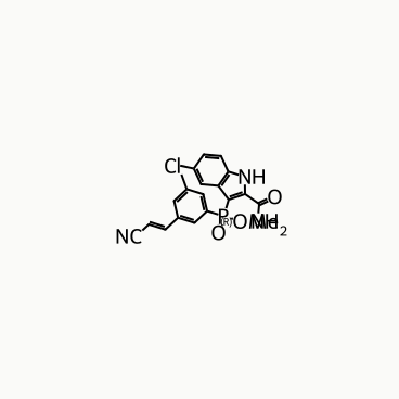 CO[P@](=O)(c1cc(C)cc(C=CC#N)c1)c1c(C(N)=O)[nH]c2ccc(Cl)cc12